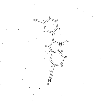 Cn1c(-c2cccc(F)c2)cc2cc(C#N)ccc21